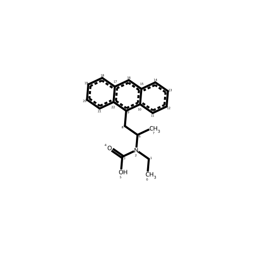 CCN(C(=O)O)C(C)Cc1c2ccccc2cc2ccccc12